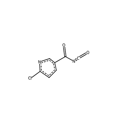 O=C=NC(=O)c1ccc(Cl)nc1